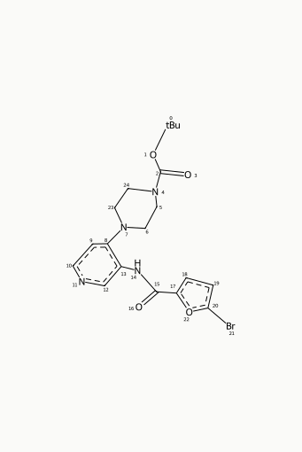 CC(C)(C)OC(=O)N1CCN(c2ccncc2NC(=O)c2ccc(Br)o2)CC1